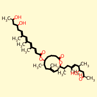 CC(=C\C[C@H](O)C[C@@H](C)O)/C=C(C)/C=C(C)/C=C/C(=O)O[C@H]1CCCC(=O)O[C@@H]([C@@H](C)C/C(C)=C/[C@@H](C)[C@H](O)C[C@@H](C)O)C/C=C(\C)C[C@@H]1C